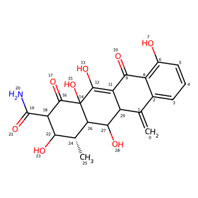 C=C1c2cccc(O)c2C(=O)C2=C(O)C3(O)C(=O)C(C(N)=O)C(O)[C@@H](C)C3C(O)C12